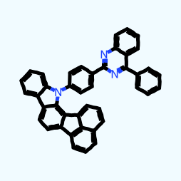 c1ccc(-c2nc(-c3ccc(-n4c5ccccc5c5ccc6c(c54)-c4cccc5cccc-6c45)cc3)nc3ccccc23)cc1